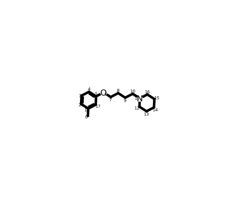 Cc1cccc(OCCCCN2CCCCC2)c1